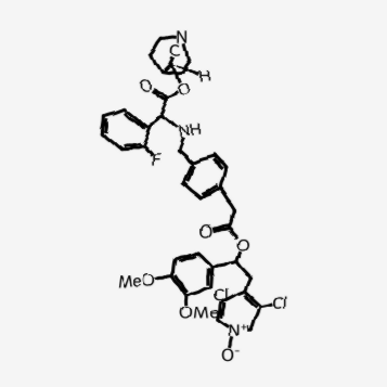 COc1ccc(C(Cc2c(Cl)c[n+]([O-])cc2Cl)OC(=O)Cc2ccc(CNC(C(=O)O[C@H]3CN4CCC3CC4)c3ccccc3F)cc2)cc1OC